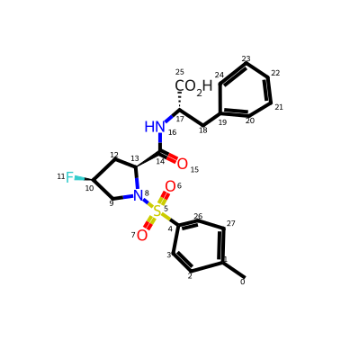 Cc1ccc(S(=O)(=O)N2C[C@@H](F)C[C@H]2C(=O)N[C@@H](Cc2ccccc2)C(=O)O)cc1